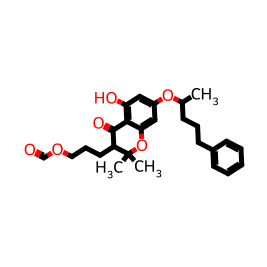 CC(CCCc1ccccc1)Oc1cc(O)c2c(c1)OC(C)(C)C(CCCOC=O)C2=O